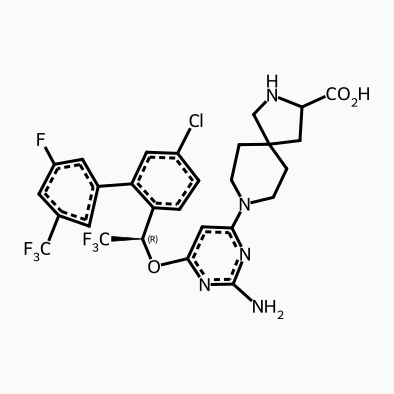 Nc1nc(O[C@H](c2ccc(Cl)cc2-c2cc(F)cc(C(F)(F)F)c2)C(F)(F)F)cc(N2CCC3(CC2)CNC(C(=O)O)C3)n1